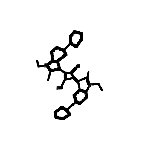 CCn1c(C)c(C2=C(O)/C(=C3/C(C)=[N+](CC)c4ccc(-c5ccccc5)cc43)C2=O)c2cc(-c3ccccc3)ccc21